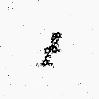 NC(=O)C1(N2CCN(CCC3(c4ccc(Cl)c(Cl)c4)CCCN(C(=O)Cc4cc(C(F)(F)F)cc(C(F)(F)F)c4)C3)CC2)CCCCC1